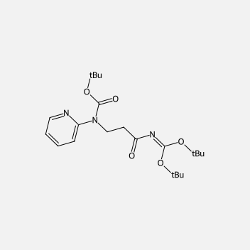 CC(C)(C)OC(=O)N(CCC(=O)N=C(OC(C)(C)C)OC(C)(C)C)c1ccccn1